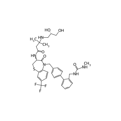 CNC(=O)NCc1ccccc1-c1ccc(CN2C(=O)[C@H](NC(=O)CC(C)(C)NC[C@H](O)CO)CSc3cc(C(F)(F)F)ccc32)cc1